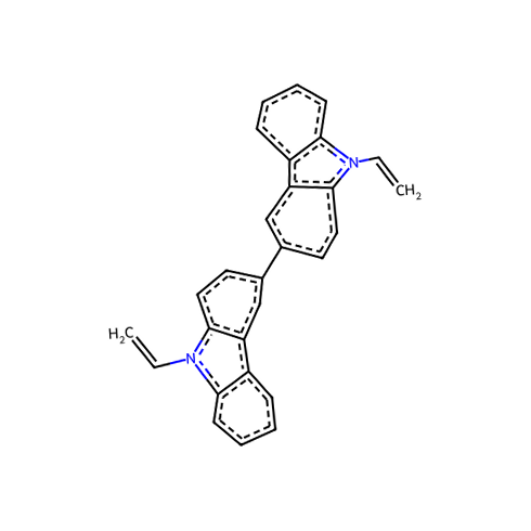 C=Cn1c2ccccc2c2cc(-c3ccc4c(c3)c3ccccc3n4C=C)ccc21